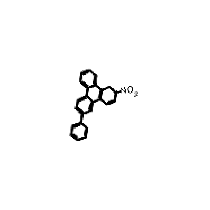 O=[N+]([O-])C1C=Cc2c(c3ccccc3c3ccc(-c4ccccc4)cc23)C1